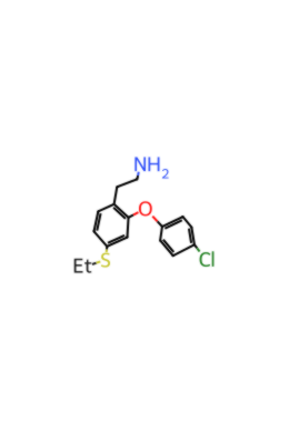 CCSc1ccc(CCN)c(Oc2ccc(Cl)cc2)c1